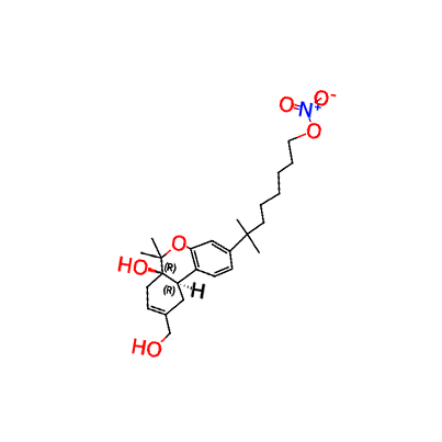 CC(C)(CCCCCCO[N+](=O)[O-])c1ccc2c(c1)OC(C)(C)[C@@]1(O)CC=C(CO)C[C@H]21